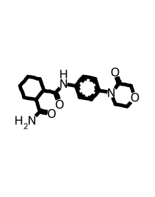 NC(=O)C1CCCCC1C(=O)Nc1ccc(N2CCOCC2=O)cc1